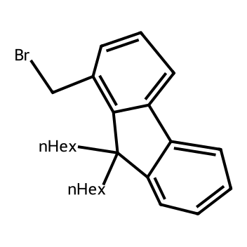 CCCCCCC1(CCCCCC)c2ccccc2-c2cccc(CBr)c21